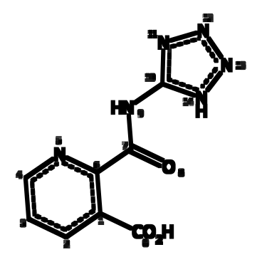 O=C(O)c1cccnc1C(=O)Nc1nnn[nH]1